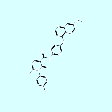 COc1cnc2c(Oc3ccc(NC(=O)c4cnc(C)n(-c5ccc(F)cc5)c4=O)cc3)ccnc2c1